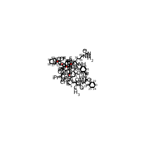 CC[C@H](C)[C@@H]([C@@H](CC(=O)N1CCC[C@H]1[C@H](OC)[C@@H](C)C(=O)N[C@@H](Cc1ccccc1)C(=O)NCc1ccc(NC(=O)[C@H](CCCNC(N)=O)NC(=O)[C@@H](NC(=O)CCC(=O)N2C3CCC2CC(C(=O)Oc2c(F)c(F)c(F)c(F)c2F)C3)C(C)C)cc1)OC)N(C)C(=O)[C@@H](NC(=O)[C@H](C(C)C)N(C)C)C(C)C